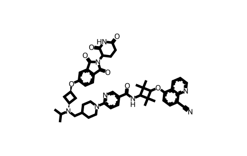 CC(C)N(CC1CCN(c2ccc(C(=O)NC3C(C)(C)C(Oc4ccc(C#N)c5ncccc45)C3(C)C)cn2)CC1)[C@H]1C[C@H](Oc2ccc3c(c2)C(=O)N(C2CCC(=O)NC2=O)C3=O)C1